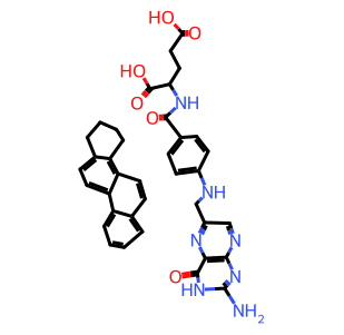 Nc1nc2ncc(CNc3ccc(C(=O)NC(CCC(=O)O)C(=O)O)cc3)nc2c(=O)[nH]1.c1ccc2c(c1)ccc1c3c(ccc12)CCCC3